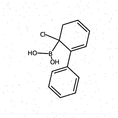 OB(O)C1(Cl)CC=CC=C1c1ccccc1